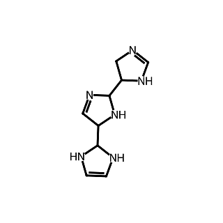 C1=CNC(C2C=NC(C3CN=CN3)N2)N1